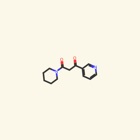 O=C(CC(=O)N1CCCCC1)c1cccnc1